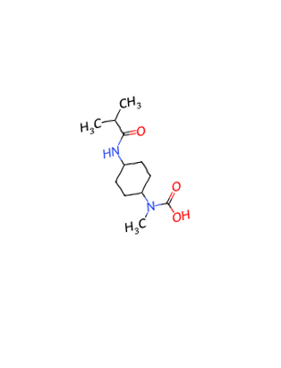 CC(C)C(=O)NC1CCC(N(C)C(=O)O)CC1